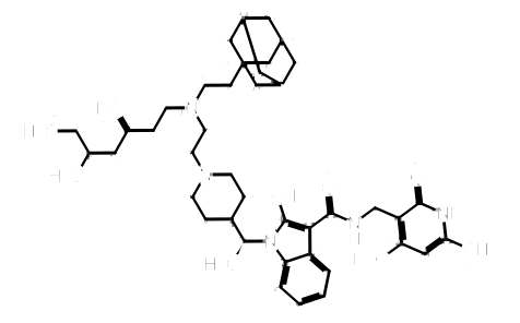 C=C(CCN(CCN1CCC([C@H](C)n2c(C)c(C(=O)NCc3c(C)cc(C)[nH]c3=O)c3ccccc32)CC1)CCC12CC3CC(CC(C3)C1)C2)CC(C)CC